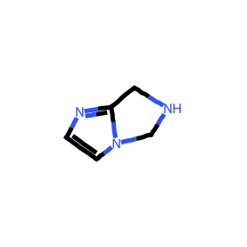 c1cn2c(n1)CNC2